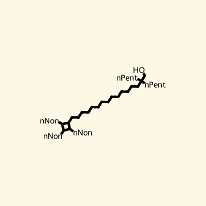 CCCCCCCCCC1C(CCCCCCCCC)C(CCCCCCCCCCCCCCC(CO)(CCCCC)CCCCC)C1CCCCCCCCC